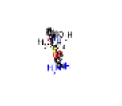 CC(C)(Cc1ccc(C(=O)Oc2ccc(C(=N)N)cc2F)s1)C(=O)N[C@H](C(=O)O)c1ccccc1